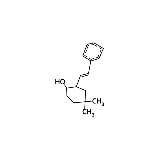 CC1(C)CCC(O)C(C=Cc2ccccc2)C1